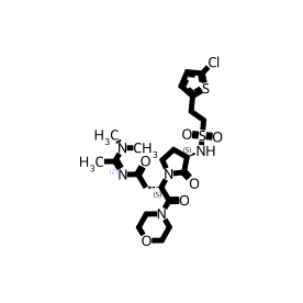 C/C(=N/C(=O)C[C@@H](C(=O)N1CCOCC1)N1CC[C@H](NS(=O)(=O)CCc2ccc(Cl)s2)C1=O)N(C)C